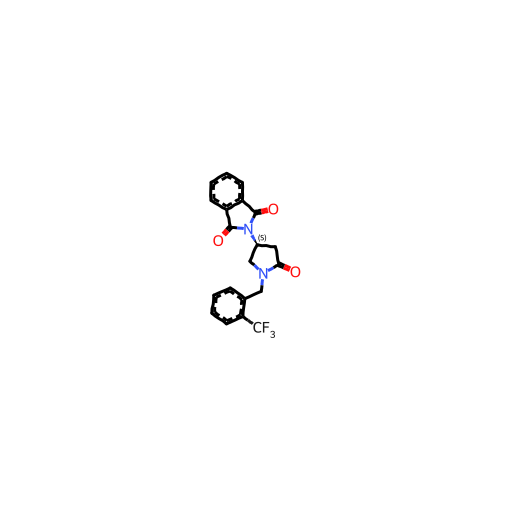 O=C1C[C@H](N2C(=O)c3ccccc3C2=O)CN1Cc1ccccc1C(F)(F)F